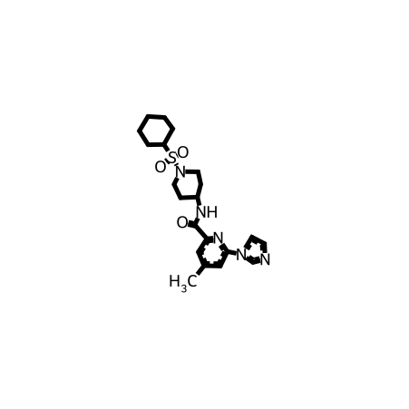 Cc1cc(C(=O)NC2CCN(S(=O)(=O)C3CCCCC3)CC2)nc(-n2ccnc2)c1